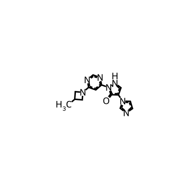 CC1CN(c2cc(-n3[nH]cc(-n4ccnc4)c3=O)ncn2)C1